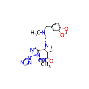 CNC(=O)C1CCN(CCN(C)Cc2ccc3c(c2)OCO3)C1c1cnc(-n2cncn2)n1C